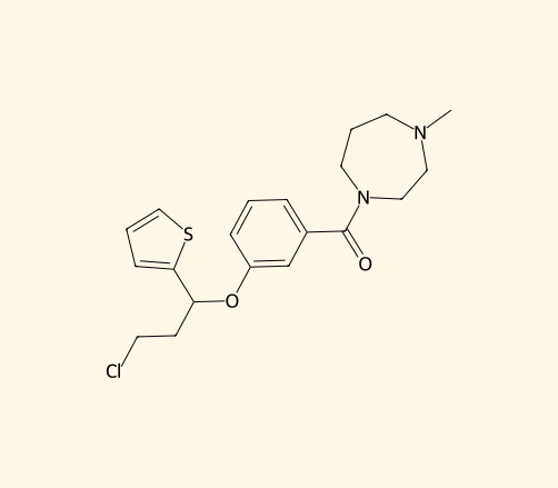 CN1CCCN(C(=O)c2cccc(OC(CCCl)c3cccs3)c2)CC1